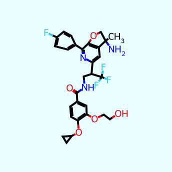 CC1(N)COc2c1cc(C(CNC(=O)c1ccc(OC3CC3)c(OCCO)c1)C(F)(F)F)nc2-c1ccc(F)cc1